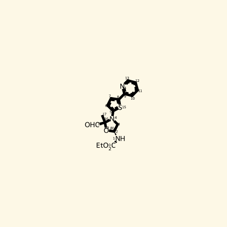 CCOC(=O)N[C@H]1CN(c2ccc(-c3ccccn3)s2)C(C)(C=O)O1